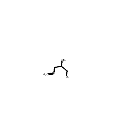 C=PCC(CCC)CC(C)C